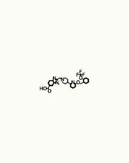 Cn1c(CN2CCC(c3cccc(OCc4ccccc4OC(F)(F)F)n3)CC2)nc2ccc(C(=O)O)cc21